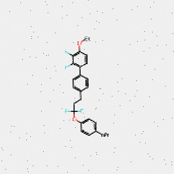 CCCc1ccc(OC(F)(F)CCc2ccc(-c3ccc(OCC)c(F)c3F)cc2)cc1